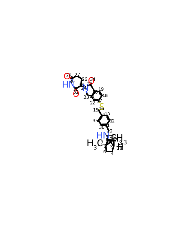 CC1(C)[C@@H]2CC[C@@]1(C)[C@@H](NCc1ccc(CSc3ccc4c(c3)CN(C3CCC(=O)NC3=O)C4=O)cc1)C2